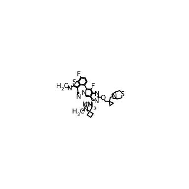 C=Nc1sc2c(F)ccc(-c3ncc4c(NCC5(N(C)C)CCC5)nc(OCC5(CN6C7CCC6CSC7)CC5)nc4c3F)c2c1C#N